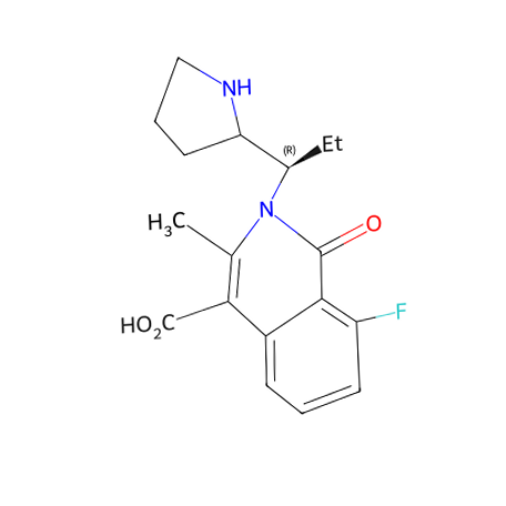 CC[C@H](C1CCCN1)n1c(C)c(C(=O)O)c2cccc(F)c2c1=O